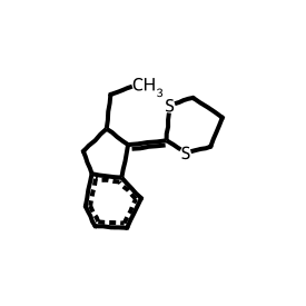 CCC1Cc2ccccc2C1=C1SCCCS1